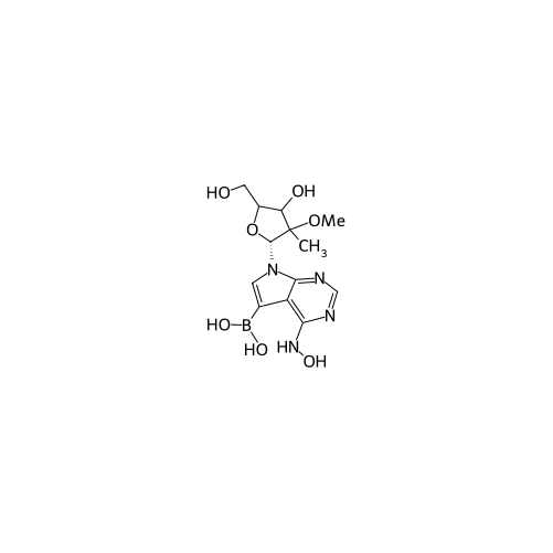 COC1(C)C(O)C(CO)O[C@H]1n1cc(B(O)O)c2c(NO)ncnc21